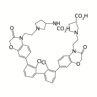 O=C(O)NC1CCN(CCN2C(=O)COc3cc(-c4cccc(-c5cccc(-c6ccc7c(c6)OCC(=O)N7CCN6CCC(C(=O)O)C6)c5Cl)c4Cl)ccc32)C1